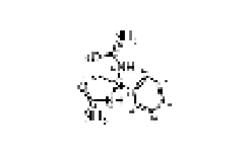 C[Si](NC(N)=O)(NC(N)=O)c1ccccc1